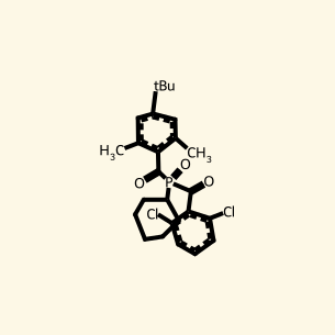 Cc1cc(C(C)(C)C)cc(C)c1C(=O)P(=O)(C(=O)c1c(Cl)cccc1Cl)C1CCCCC1